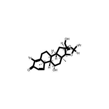 [2H]C1=C2CC[C@@H]3[C@H]([C@@H](O)C[C@@]4(C)[C@H]3C[C@H]3OC([2H])(CCC)O[C@]34C(=O)CO)[C@@]2(C)C=CC1=O